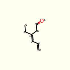 C=C/C=C(/CC)CC=O